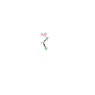 O.[Br][V][Br]